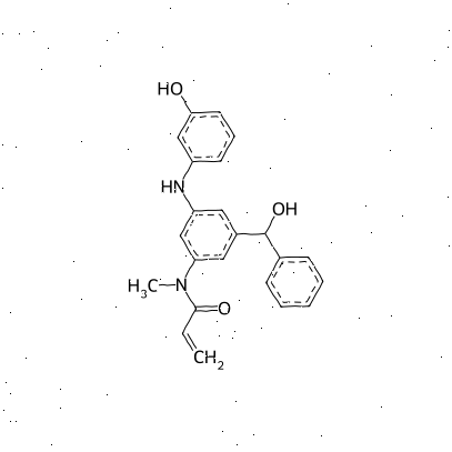 C=CC(=O)N(C)c1cc(Nc2cccc(O)c2)cc(C(O)c2ccccc2)c1